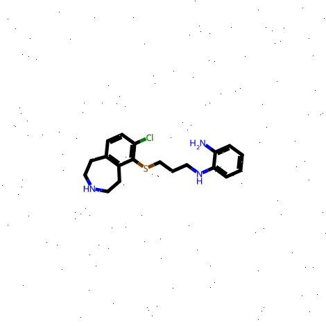 Nc1ccccc1NCCCSc1c(Cl)ccc2c1CCNCC2